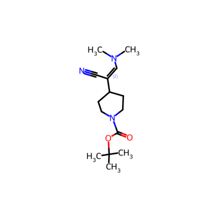 CN(C)/C=C(\C#N)C1CCN(C(=O)OC(C)(C)C)CC1